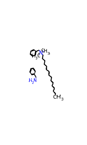 CCCCCCCCCCCCCCCC[N+](C)(C)Cc1ccccc1.NCc1ccccc1